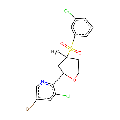 CC1(S(=O)(=O)c2cccc(Cl)c2)CCOC(c2ncc(Br)cc2Cl)C1